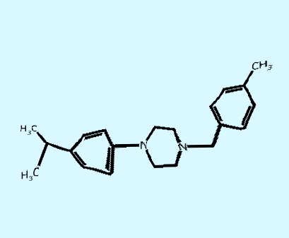 Cc1ccc(CN2CCN(c3ccc(C(C)C)cc3)CC2)cc1